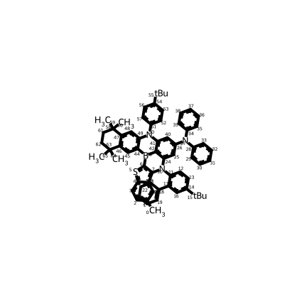 Cc1ccc2sc3c(c2c1)N(c1ccc(C(C)(C)C)cc1C1=CC=CCC1)c1cc(N(c2ccccc2)c2ccccc2)cc2c1B3c1cc3c(cc1N2c1ccc(C(C)(C)C)cc1)C(C)(C)CCC3(C)C